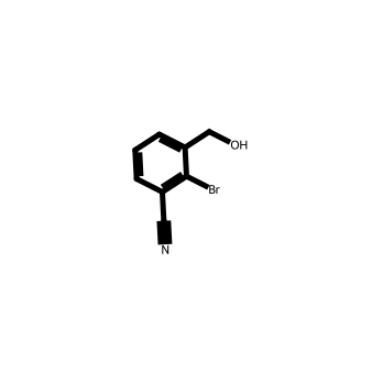 N#Cc1cccc([CH]O)c1Br